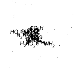 NCCCC[C@H](NC(=O)[C@H](Cc1ccccc1)NC(=O)[C@H](CC(N)=O)NC(=O)[C@H](CCC(=O)O)NC(=O)[C@@H](N)CC(=O)O)C(=O)O